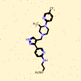 CC(=O)NCCNc1ccc(-c2n[nH]cc2CN2CCN(c3ccc(C(F)(F)F)cn3)C(C)C2)cn1